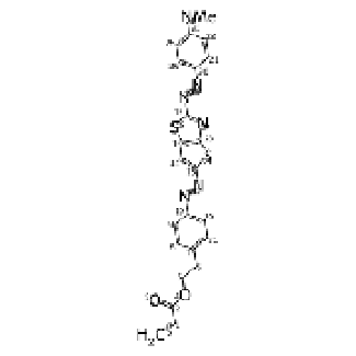 C=CC(=O)OCCc1ccc(/N=N/c2cc3sc(/N=N/c4ccc(NC)cc4)nc3s2)cc1